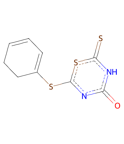 O=c1nc(SC2=CC=CCC2)sc(=S)[nH]1